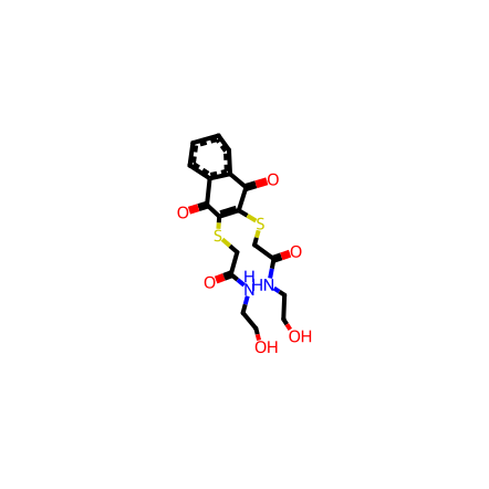 O=C(CSC1=C(SCC(=O)NCCO)C(=O)c2ccccc2C1=O)NCCO